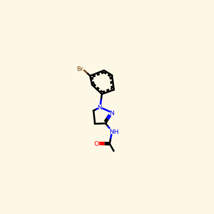 CC(=O)NC1=NN(c2cccc(Br)c2)CC1